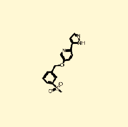 CS(=O)(=O)c1cccc(COc2ccc(-c3ccn[nH]3)nc2)c1